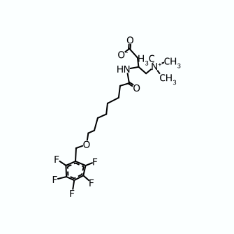 C[N+](C)(C)CC(CC(=O)[O-])NC(=O)CCCCCCCOCc1c(F)c(F)c(F)c(F)c1F